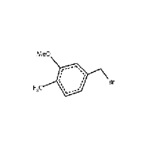 COc1cc(CBr)ccc1C(F)(F)F